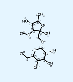 C[C@H]1O[C@](O)(CO[C@H]2O[C@H](CCl)[C@H](Cl)[C@H](O)[C@H]2O)[C@@H](OCl)[C@@H]1O